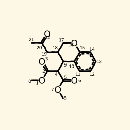 COC(=O)C(C(=O)OC)C1c2ccccc2OCC1CC(C)=O